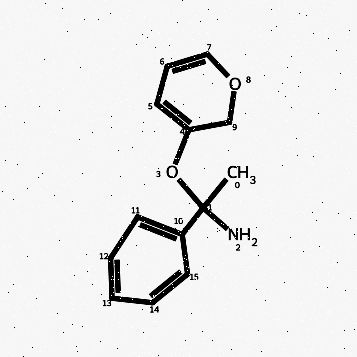 CC(N)(OC1=CC=COC1)c1ccccc1